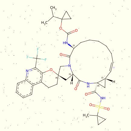 CC(C)C1(OC(=O)N[C@H]2CCCCC/C=C\[C@@H]3C[C@@]3(C(=O)NS(=O)(=O)C3(C)CC3)NC(=O)[C@@H]3C[C@]4(CCc5c(c(C(F)(F)F)nc6ccccc56)O4)CN3C2=O)CC1